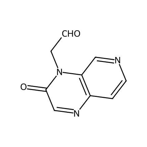 O=CCn1c(=O)cnc2ccncc21